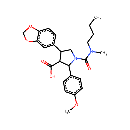 CCCCN(C)C(=O)N1CC(c2ccc3c(c2)OCO3)C(C(=O)O)C1c1ccc(OC)cc1